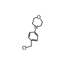 ClCc1ccc(N2CCOCC2)cc1